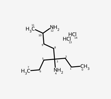 CCCC(N)(CCC)CCC(C)N.Cl.Cl